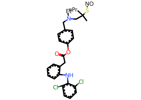 CCCC(C)(CN(CC)Cc1ccc(OC(=O)Cc2ccccc2Nc2c(Cl)cccc2Cl)cc1)SN=O